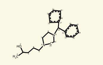 CC(O)CCCN1CCN(C(c2ccccc2)c2ccccc2)CC1